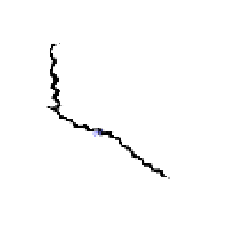 [CH2]CCCCCCCCCCC/C=C/CCCCCC(C)CCCCCCCC[CH2]